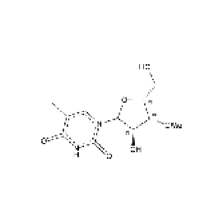 CO[C@H]1[C@@H](CO)OC(n2cc(C)c(=O)[nH]c2=O)[C@@H]1O